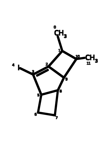 CC1C2=C(I)C3CCC3C2C1C